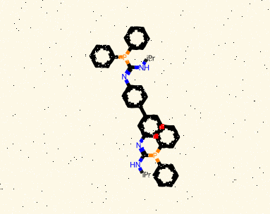 CC(C)N/C(=N/c1cccc(-c2ccc(/N=C(\NC(C)C)P(c3ccccc3)c3ccccc3)cc2)c1)P(c1ccccc1)c1ccccc1